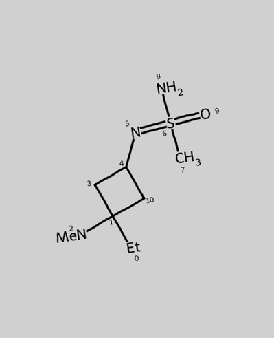 CCC1(NC)CC(N=S(C)(N)=O)C1